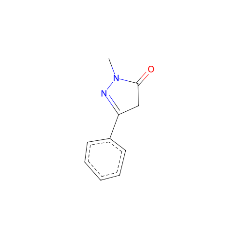 CN1N=C(c2ccccc2)CC1=O